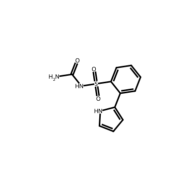 NC(=O)NS(=O)(=O)c1ccccc1-c1ccc[nH]1